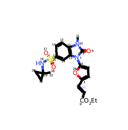 CCOC(=O)/C=C/c1ccc(-n2c(=O)n(C)c3ccc(S(=O)(=O)NC4(C)CC4)cc32)o1